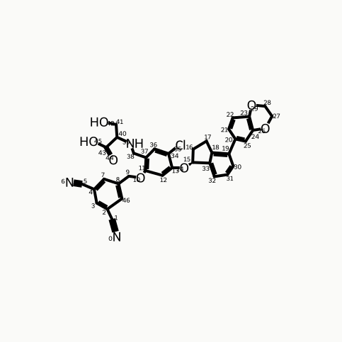 N#Cc1cc(C#N)cc(COc2cc(O[C@H]3CCc4c(-c5ccc6c(c5)OCCO6)cccc43)c(Cl)cc2CNC(CO)C(=O)O)c1